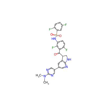 CN(C)c1ncc(-c2cnc3c(c2)C(C(=O)c2c(F)ccc(NS(=O)(=O)c4cc(F)ccc4F)c2F)CN3)cn1